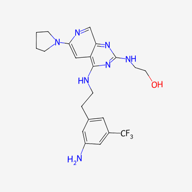 Nc1cc(CCNc2nc(NCCO)nc3cnc(N4CCCC4)cc23)cc(C(F)(F)F)c1